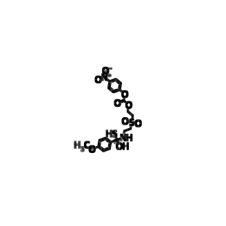 COc1ccc([C@](O)(S)NCCS(=O)(=O)CCOC(=O)Oc2ccc([N+](=O)[O-])cc2)cc1